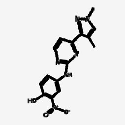 Cc1cn(C)nc1-c1ccnc(Nc2ccc(O)c([N+](=O)[O-])c2)n1